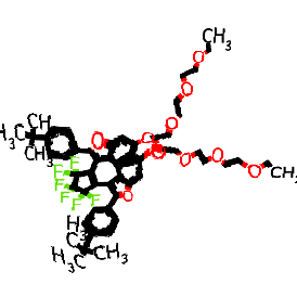 CCOCCOCCOCCOc1ccc2c(C3=C(c4c(-c5ccc(C(C)(C)C)cc5)oc5cc(OCCOCCOCCOCC)ccc45)C(F)(F)C(F)(F)C3(F)F)c(-c3ccc(C(C)(C)C)cc3)oc2c1